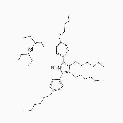 CCCCCCC1=C(c2ccc(CCCCC)cc2)[N+](=[N-])C(c2ccc(CCCCCC)cc2)=C1CCCCCC.CC[N](CC)[Pd][N](CC)CC